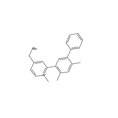 Cc1cc(C)c(-c2cc(CC(C)(C)C)cc[n+]2C)cc1-c1ccccc1